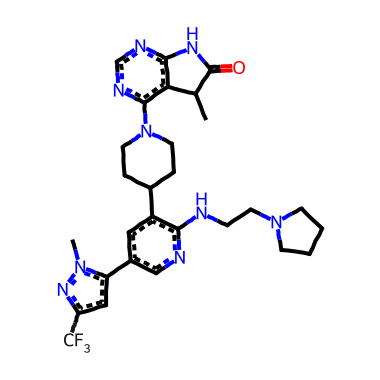 CC1C(=O)Nc2ncnc(N3CCC(c4cc(-c5cc(C(F)(F)F)nn5C)cnc4NCCN4CCCC4)CC3)c21